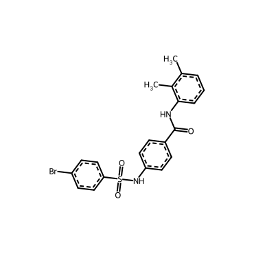 Cc1cccc(NC(=O)c2ccc(NS(=O)(=O)c3ccc(Br)cc3)cc2)c1C